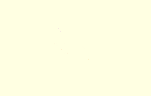 N#C/C(=C/c1cccc(Cl)c1Cl)S(=O)(=O)c1ccccc1